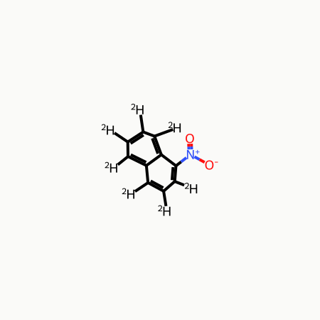 [2H]c1c([2H])c([2H])c2c([N+](=O)[O-])c([2H])c([2H])c([2H])c2c1[2H]